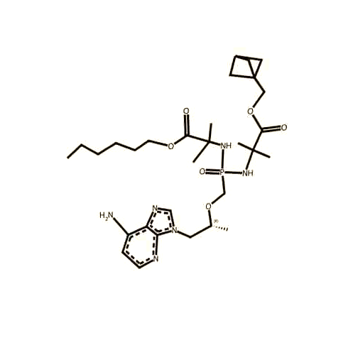 CCCCCCOC(=O)C(C)(C)NP(=O)(CO[C@H](C)Cn1cnc2c(N)ccnc21)NC(C)(C)C(=O)OCC12CC(C1)C2